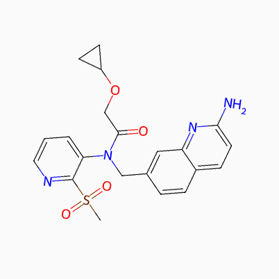 CS(=O)(=O)c1ncccc1N(Cc1ccc2ccc(N)nc2c1)C(=O)COC1CC1